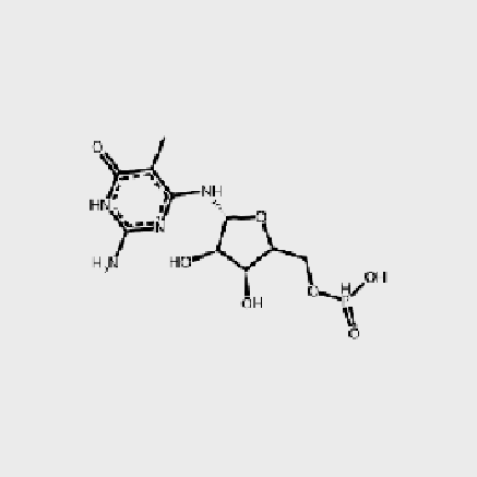 Cc1c(N[C@@H]2OC(CO[PH](=O)O)[C@@H](O)[C@H]2O)nc(N)[nH]c1=O